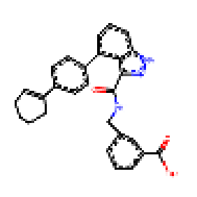 O=C(O)c1cccc(CNC(=O)c2n[nH]c3cccc(-c4ccc(C5=CCCCC5)cc4)c23)c1